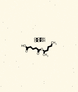 CCCCC(C)OC(=O)CCCC(=O)O.N=C=O.N=C=O